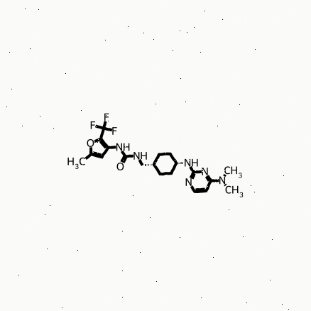 Cc1cc(NC(=O)NC[C@H]2CC[C@@H](Nc3nccc(N(C)C)n3)CC2)c(C(F)(F)F)o1